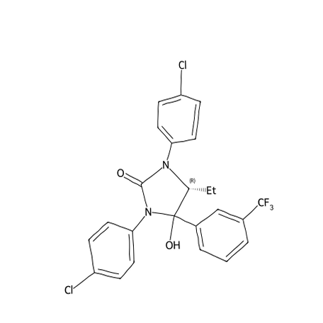 CC[C@H]1N(c2ccc(Cl)cc2)C(=O)N(c2ccc(Cl)cc2)C1(O)c1cccc(C(F)(F)F)c1